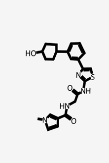 Cn1ccc(C(=O)NCC(=O)Nc2nc(-c3cccc(C4CCC(O)CC4)c3)cs2)c1